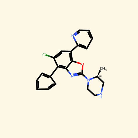 C[C@H]1CNCCN1c1nc2c(-c3ccccc3)c(Cl)cc(-c3ccccn3)c2o1